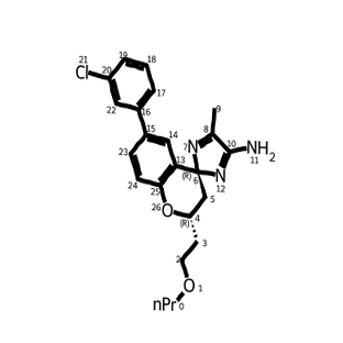 CCCOCC[C@H]1C[C@]2(N=C(C)C(N)=N2)c2cc(-c3cccc(Cl)c3)ccc2O1